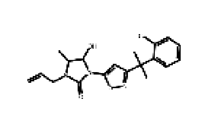 C=CCN1C(=O)N(c2cc(C(C)(C)c3ccccc3Cl)no2)C(O)C1C